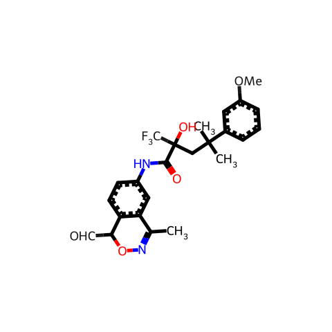 COc1cccc(C(C)(C)CC(O)(C(=O)Nc2ccc3c(c2)C(C)=NOC3C=O)C(F)(F)F)c1